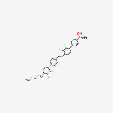 C=CCCCOc1ccc(-c2ccc(CCc3ccc(-c4ccc(C(O)CCC)cc4)c(F)c3F)cc2)c(F)c1F